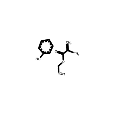 C=C(C)C(=O)OCCCCCCCCC.Oc1ccccc1